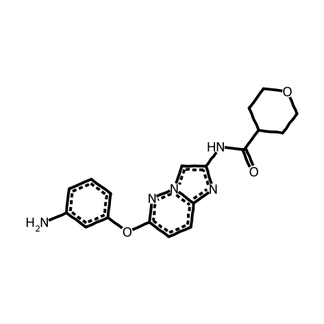 Nc1cccc(Oc2ccc3nc(NC(=O)C4CCOCC4)cn3n2)c1